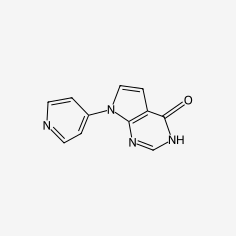 O=c1[nH]cnc2c1ccn2-c1ccncc1